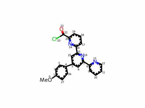 COc1ccc(-c2cc(-c3ccccn3)nc(-c3cccc(C(=O)Cl)n3)c2)cc1